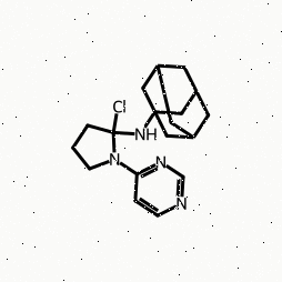 ClC1(NC23CC4CC(CC(C4)C2)C3)CCCN1c1ccncn1